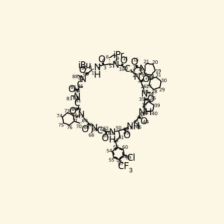 CC[C@H](C)[C@@H]1NC(=O)[C@H](CC(C)C)N(C)C(=O)C[C@@H](C(=O)N2CCCCC2)N(C)C(=O)[C@H](C2CCCCC2)N(C)C(=O)C2(CCCC2)NC(=O)[C@@H](C)NC(=O)C(CCc2ccc(C(F)(F)F)c(Cl)c2)NC(=O)CN(C)C(=O)[C@H](CC2CCCCC2)N(C)C(=O)CN(C)C(=O)CN(C)C1=O